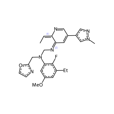 C/C=C1/N=CC(c2cnn(C)c2)=C/C1=N/CN(Cc1ncco1)c1cc(OC)cc(CC)c1F